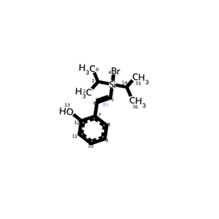 CC(C)[Si](Br)(/C=C/c1ccccc1O)C(C)C